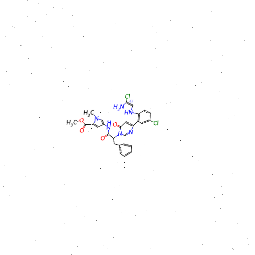 COC(=O)c1cc(NC(=O)C(Cc2ccccc2)n2cnc(-c3cc(Cl)ccc3N/C=C(\N)Cl)cc2=O)cn1C